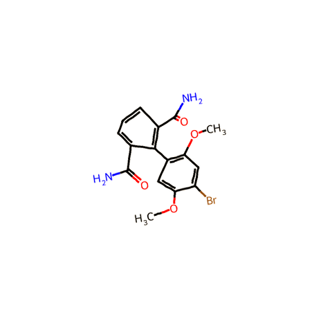 COc1cc(-c2c(C(N)=O)cccc2C(N)=O)c(OC)cc1Br